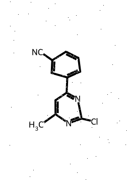 Cc1cc(-c2cccc(C#N)c2)nc(Cl)n1